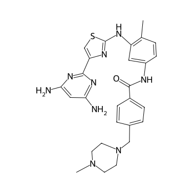 Cc1ccc(NC(=O)c2ccc(CN3CCN(C)CC3)cc2)cc1Nc1nc(-c2nc(N)cc(N)n2)cs1